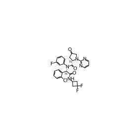 O=C1C[C@@H](C(=O)N(c2cccc(F)c2)[C@H](C(=O)NC2CC(F)(F)C2)c2ccccc2Cl)N(c2ncccn2)C1